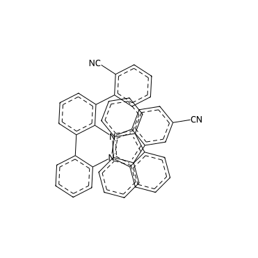 N#Cc1ccc2c(c1)c1ccccc1n2-c1c(-c2ccccc2C#N)cccc1-c1ccccc1-n1c2ccccc2c2ccccc21